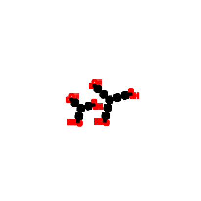 O=C(O)c1ccc(-c2cc(-c3ccc(C(=O)O)cc3)cc(-c3ccc(C(=O)O)cc3)c2)cc1.O=C(O)c1ccc(-c2ccc(-c3cc(-c4ccc(-c5ccc(C(=O)O)cc5)cc4)cc(-c4ccc(-c5ccc(C(=O)O)cc5)cc4)c3)cc2)cc1